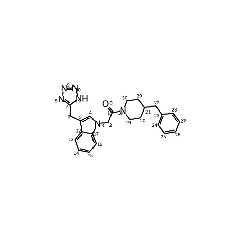 O=C(Cn1cc(Cc2nnn[nH]2)c2ccccc21)N1CCC(Cc2ccccc2)CC1